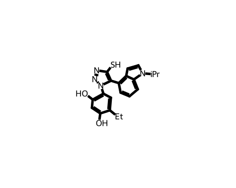 CCc1cc(-n2nnc(S)c2-c2cccc3c2ccn3C(C)C)c(O)cc1O